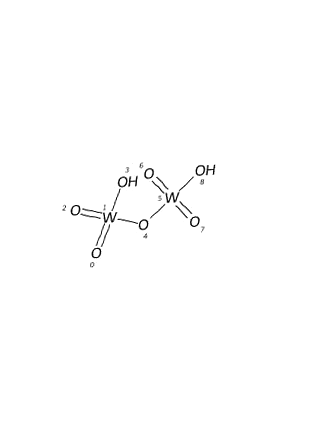 [O]=[W](=[O])([OH])[O][W](=[O])(=[O])[OH]